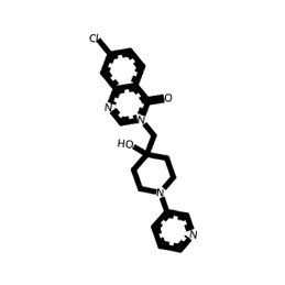 O=c1c2ccc(Cl)cc2ncn1CC1(O)CCN(c2cccnc2)CC1